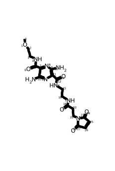 COCCNC(=O)c1nc(N)c(C(=O)NCCNC(=O)CCN2C(=O)C=CC2=O)nc1N